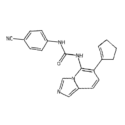 N#Cc1ccc(NC(=O)Nc2c(C3=CCCC3)ccc3cncn23)cc1